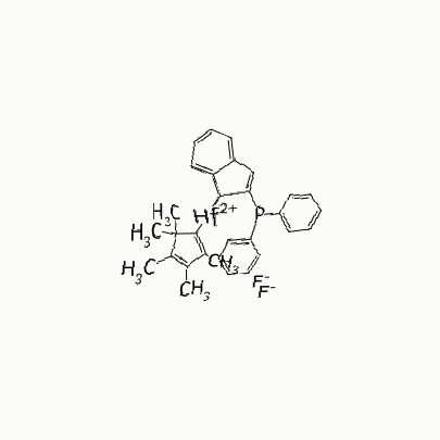 CC1=C(C)C(C)(C)[C]([Hf+2][CH]2C(P(c3ccccc3)c3ccccc3)=Cc3ccccc32)=C1C.[F-].[F-]